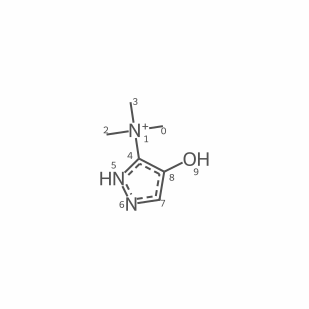 C[N+](C)(C)c1[nH]ncc1O